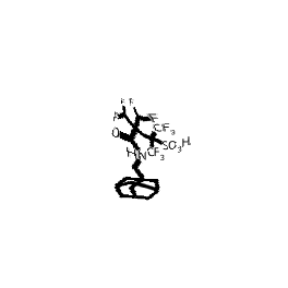 O=C(NCC12CC3CC(CC(C3)C1)C2)C(C(F)F)(C(F)F)C(C(F)(F)F)(C(F)(F)F)S(=O)(=O)O